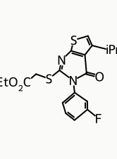 CCOC(=O)CSc1nc2scc(C(C)C)c2c(=O)n1-c1cccc(F)c1